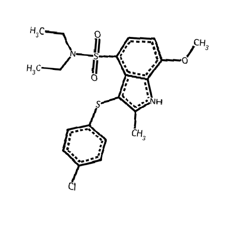 CCN(CC)S(=O)(=O)c1ccc(OC)c2[nH]c(C)c(Sc3ccc(Cl)cc3)c12